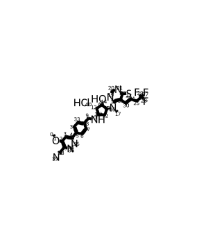 COc1cc(-c2ccc(CN[C@H]3C[C@@H](O)[C@@H](N(C)c4ncnc5sc(CC(F)(F)F)cc45)C3)cc2)nnc1C#N.Cl